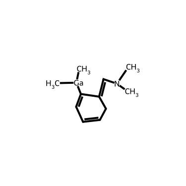 CN(C)C=C1CC=CC=[C]1[Ga]([CH3])[CH3]